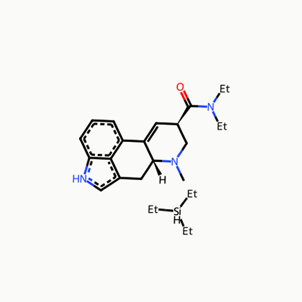 CCN(CC)C(=O)[C@@H]1C=C2c3cccc4[nH]cc(c34)C[C@H]2N(C)C1.CC[SiH](CC)CC